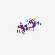 C[C@@H]1CN(CC(=O)N2CC(C)(C)c3[nH]c(=O)c(Cc4ccc(F)cc4)cc32)[C@@H](CN2CCC[C@H](NC(=O)CCCCCCC(=O)N[C@H]3CCCN(C[C@H]4CN[C@H](C)CN4CC(=O)N4CC(C)(C)c5[nH]c(=O)c(Cc6ccc(F)cc6)cc54)C3)C2)CN1